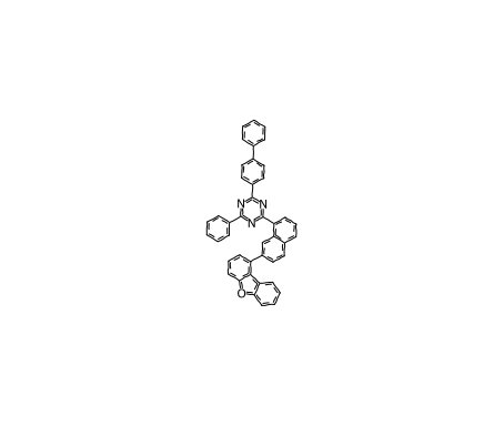 c1ccc(-c2ccc(-c3nc(-c4ccccc4)nc(-c4cccc5ccc(-c6cccc7oc8ccccc8c67)cc45)n3)cc2)cc1